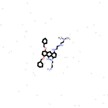 CN(C)CCNCCNc1ccc2c3c(c4c(OCc5ccccc5)ccc(OCc5ccccc5)c4cc13)NN2CCCN